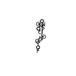 O=C(CCCCCSc1nc2ccccc2c(=O)n1-c1cccc(Cl)c1)N1CCC2(CC1)CC(c1ccc(F)cc1)CO2